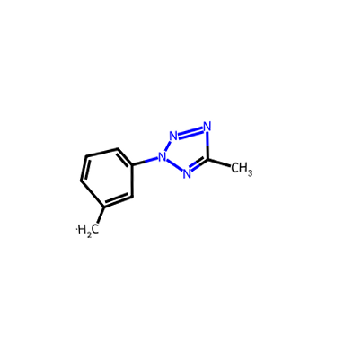 [CH2]c1cccc(-n2nnc(C)n2)c1